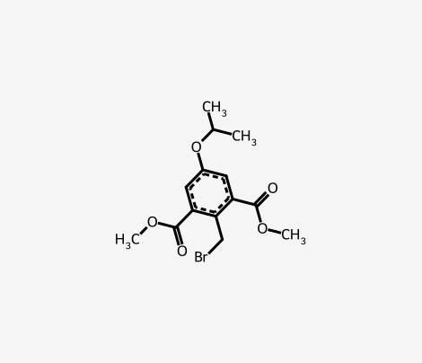 COC(=O)c1cc(OC(C)C)cc(C(=O)OC)c1CBr